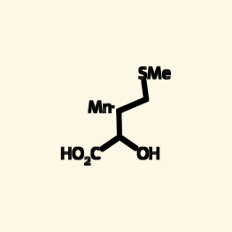 CSCCC(O)C(=O)O.[Mn]